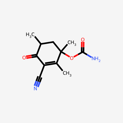 CC1=C(C#N)C(=O)C(C)CC1(C)OC(N)=O